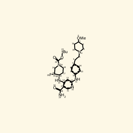 COC1CCN(CCc2ccc(Nc3cc(N[C@@H]4CCN(C(=O)OC(C)(C)C)C[C@@H]4F)c(C(N)=O)cn3)cc2)CC1